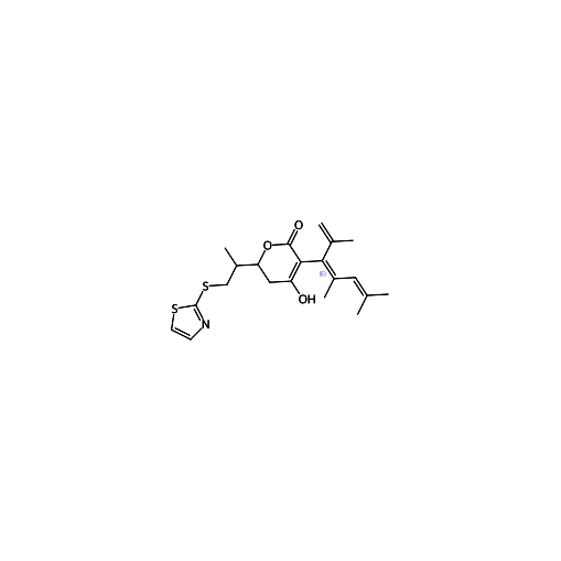 C=C(C)/C(C1=C(O)CC(C(C)CSc2nccs2)OC1=O)=C(/C)C=C(C)C